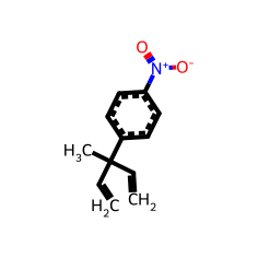 C=CC(C)(C=C)c1ccc([N+](=O)[O-])cc1